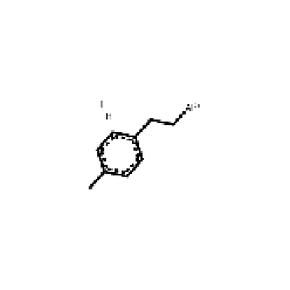 Cc1ccc(C[CH2][Al+2])cc1.[H-].[H-]